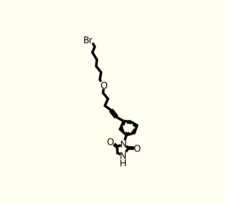 O=C1CNC(=O)N1c1cccc(C#CCCCOCCCCCCBr)c1